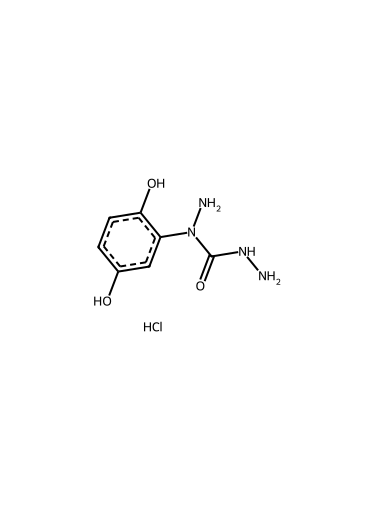 Cl.NNC(=O)N(N)c1cc(O)ccc1O